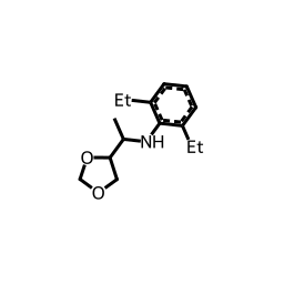 CCc1cccc(CC)c1NC(C)C1COCO1